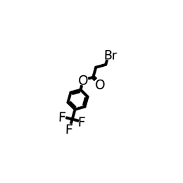 O=C(CCBr)Oc1ccc(C(F)(F)F)cc1